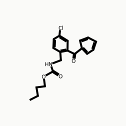 CCCCOC(=O)NCc1ccc(Cl)cc1C(=O)c1ccccc1